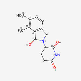 O=C1CCC(N2Cc3ccc(C(=O)O)c(C(F)(F)F)c3C2=O)C(=O)N1